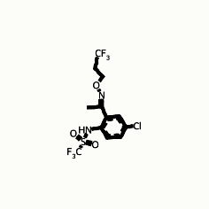 C/C(=N\OCCC(F)(F)F)c1cc(Cl)ccc1NS(=O)(=O)C(F)(F)F